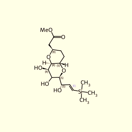 COC(=O)C[C@H]1CC[C@@H]2O[C@@H]([C@@H](O)/C=C/[Si](C)(C)C)C(O)[C@@H](O)[C@H]2O1